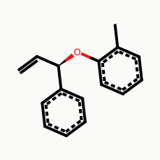 C=C[C@@H](Oc1ccccc1C)c1ccccc1